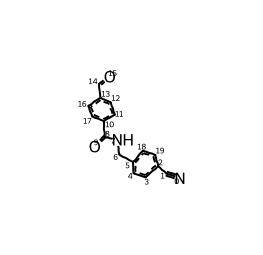 N#Cc1ccc(CNC(=O)c2ccc(C=O)cc2)cc1